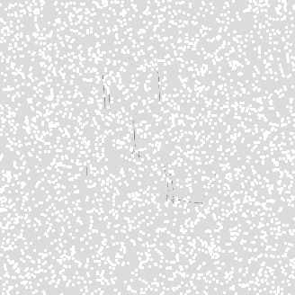 CCc1csc(N(c2ccccc2CC)S(=O)(=O)O)n1